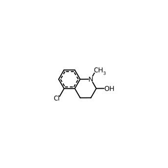 CN1c2cccc(Cl)c2CCC1O